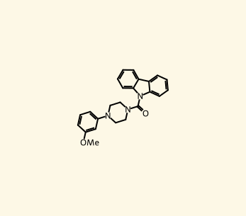 COc1cccc(N2CCN(C(=O)n3c4ccccc4c4ccccc43)CC2)c1